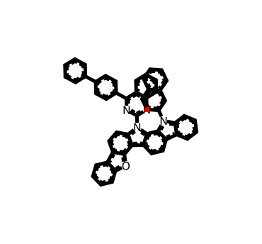 c1ccc(-c2ccc(-c3nc(-n4c5ccc6c7ccccc7oc6c5c5ccc6c7ccccc7n(-c7ccc8ccccc8c7)c6c54)nc4ccccc34)cc2)cc1